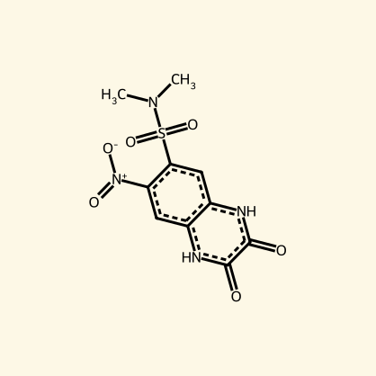 CN(C)S(=O)(=O)c1cc2[nH]c(=O)c(=O)[nH]c2cc1[N+](=O)[O-]